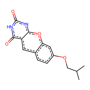 CC(C)COc1ccc2cc3c(=O)[nH]c(=O)nc-3oc2c1